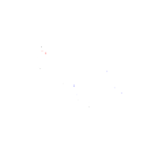 Nc1nc(Cl)nc2c1ncn2[C@H]1CO[C@@H](CO)O1